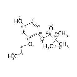 CCCOc1cc(O)ccc1OC(=O)C(C)(C)C